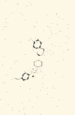 C[C@@H](NC(=O)[C@H]1CC[C@H](NS(=O)(=O)c2ccc(CBr)cc2)CC1)c1ccc(F)cc1